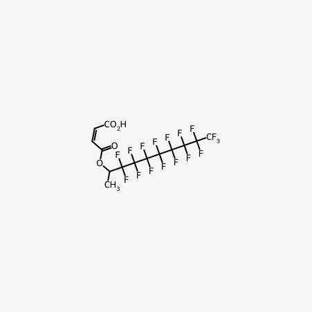 CC(OC(=O)/C=C\C(=O)O)C(F)(F)C(F)(F)C(F)(F)C(F)(F)C(F)(F)C(F)(F)C(F)(F)C(F)(F)F